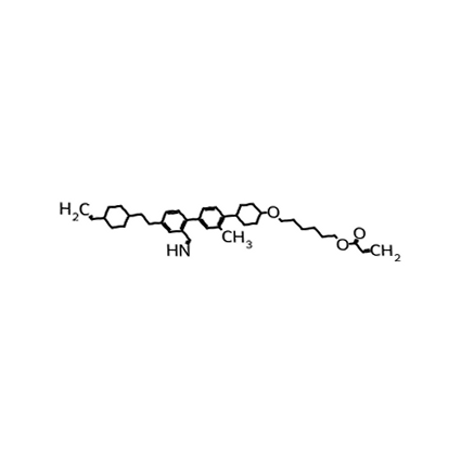 C=CC(=O)OCCCCCCOC1CCC(c2ccc(-c3ccc(CCC4CCC(C=C)CC4)cc3C=N)cc2C)CC1